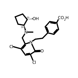 CN(Cc1c(Cl)cc(Cl)c(=O)n1CCc1ccc(C(=O)O)cc1)[C@H]1CCC[C@@H]1O